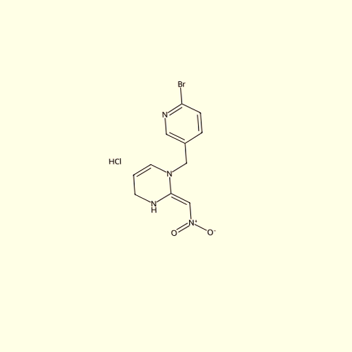 Cl.O=[N+]([O-])C=C1NCC=CN1Cc1ccc(Br)nc1